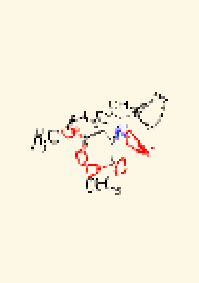 COC(=O)C/C(C(=O)OC)=[N+](/[O-])C(c1ccccc1)C(C)C